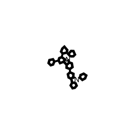 c1ccc(-c2cc(-c3ccccc3)c3c(c2)c2cc(-c4ccc5c6ccccc6n(-c6ccccc6)c5c4)ccc2n3-c2ccccc2)cc1